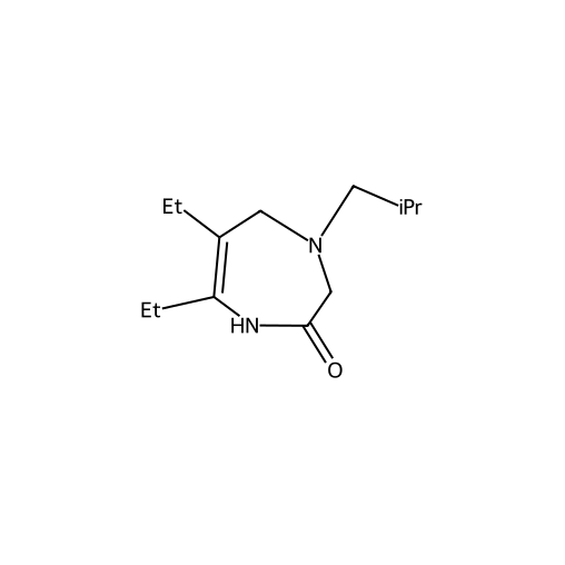 CCC1=C(CC)NC(=O)CN(CC(C)C)C1